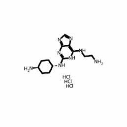 Cl.Cl.Cl.NCCNc1[nH]c(N[C@H]2CC[C@H](N)CC2)nc2ncnc1-2